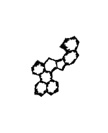 C1=c2ccc3ccccc3c2=C2Cc3cccc4c3c(c3cccc5cccc4c53)=C12